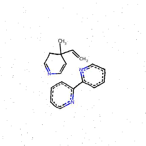 C=CC1(C)C=CN=CC1.c1ccc(-c2ccccn2)nc1